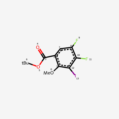 COc1c(C(=O)OC(C)(C)C)cc(F)c(F)c1I